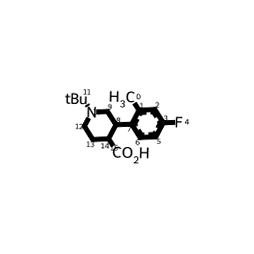 Cc1cc(F)ccc1C1CN(C(C)(C)C)CCC1C(=O)O